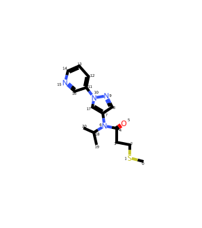 CSCCC(=O)N(c1cnn(-c2cccnc2)c1)C(C)C